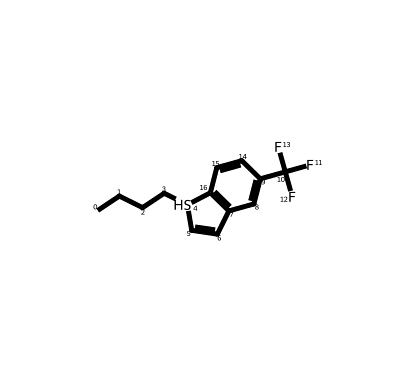 CCCC[SH]1C=Cc2cc(C(F)(F)F)ccc21